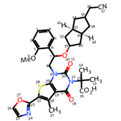 COc1ccccc1C(Cn1c(=O)n(C(C)(C)C(=O)O)c(=O)c2c(C)c(-c3ncco3)sc21)O[C@H]1C[C@H]2CC(CC#N)C[C@H]2C1